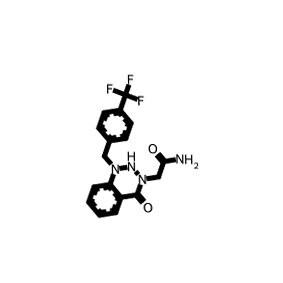 NC(=O)CN1NN(Cc2ccc(C(F)(F)F)cc2)c2ccccc2C1=O